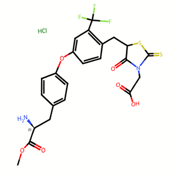 COC(=O)[C@@H](N)Cc1ccc(Oc2ccc(CC3SC(=S)N(CC(=O)O)C3=O)c(C(F)(F)F)c2)cc1.Cl